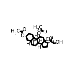 CC(=O)O[C@@H]1CC[C@H]2[C@H](CC[C@H]3[C@@H]4CC[C@H](C(=O)CO)[C@@]4(C)C[C@@H](OC(C)=O)[C@]23F)C1